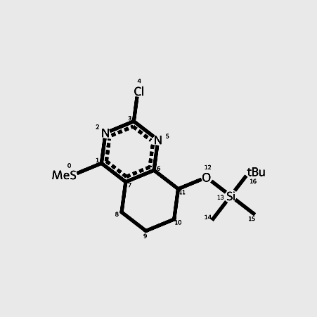 CSc1nc(Cl)nc2c1CCCC2O[Si](C)(C)C(C)(C)C